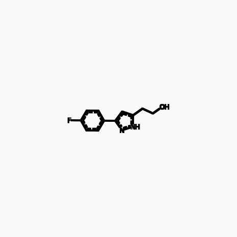 OCCc1cc(-c2ccc(F)cc2)n[nH]1